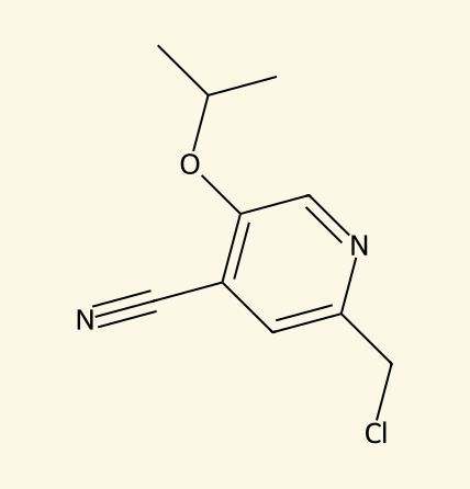 CC(C)Oc1cnc(CCl)cc1C#N